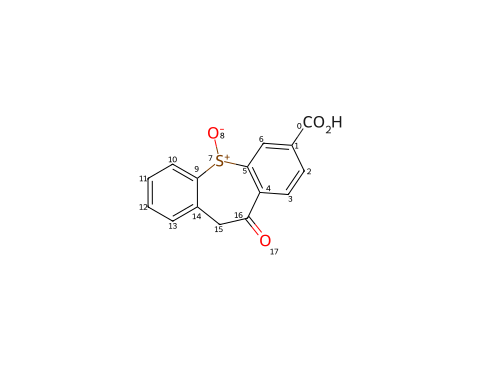 O=C(O)c1ccc2c(c1)[S+]([O-])c1ccccc1CC2=O